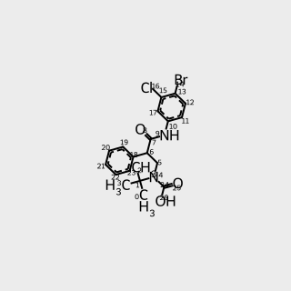 CC(C)(C)N(CC(C(=O)Nc1ccc(Br)c(Cl)c1)c1ccccc1)C(=O)O